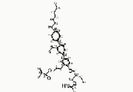 C=C(C)C(=O)OCCCc1cc(-c2ccc(-c3ccc(CCCCCCC)cc3)c(CC)c2)ccc1OCC(CC)COC(C)=N